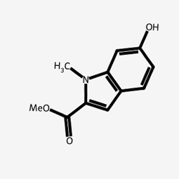 COC(=O)c1cc2ccc(O)cc2n1C